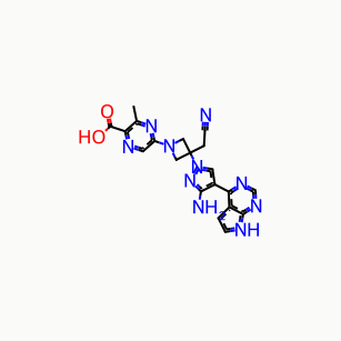 Cc1nc(N2CC(CC#N)(n3cc(-c4ncnc5[nH]ccc45)c(N)n3)C2)cnc1C(=O)O